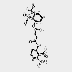 O=C(CCC(=O)Oc1cccc([N+](=O)[O-])c1[N+](=O)[O-])Oc1cccc([N+](=O)[O-])c1[N+](=O)[O-]